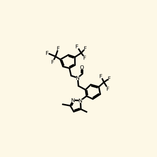 Cc1cc(C)n(-c2ccc(C(F)(F)F)cc2CN(C=O)Cc2cc(C(F)(F)F)cc(C(F)(F)F)c2)n1